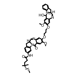 COc1cc2c(cc1OCCCOc1cc3c(cc1OC)C(O)N1c4ccccc4C[C@H]1C=N3)N=C[C@@H]1Cc3ccc(NC(=O)CCC(C)(C)SSC)cc3N1C2=O